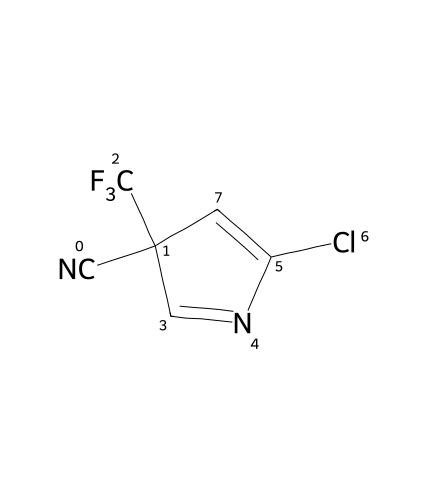 N#CC1(C(F)(F)F)C=NC(Cl)=C1